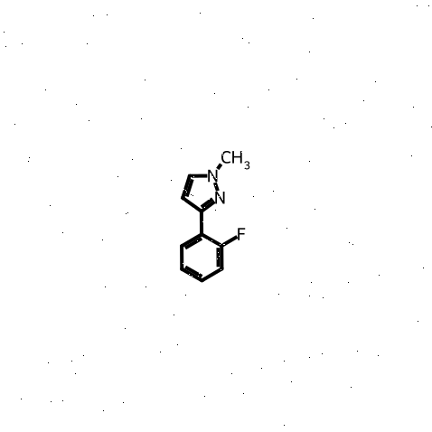 Cn1ccc(-c2ccccc2F)n1